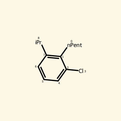 C[CH]CCCc1c(Cl)cccc1C(C)C